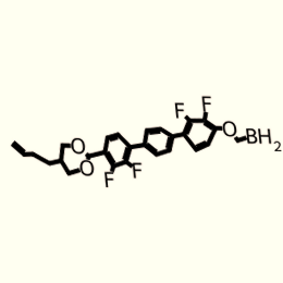 BCOc1ccc(-c2ccc(-c3ccc(C4OCC(CCC=C)CO4)c(F)c3F)cc2)c(F)c1F